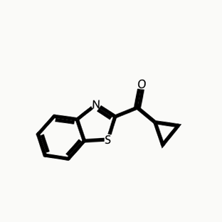 O=C(c1nc2ccccc2s1)C1CC1